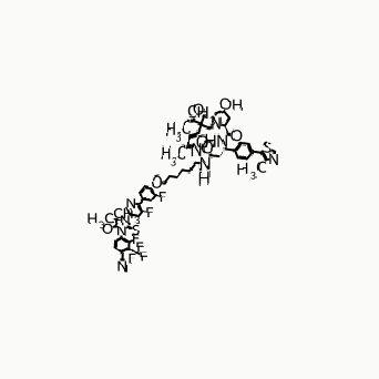 Cc1cc(C(C=O)(CN2C[C@H](O)C[C@H]2C(=O)N[C@@H](CC(=O)NCCCCCCOc2ccc(-c3ncc(N4C(=S)N(c5ccc(C#N)c(C(F)(F)F)c5F)C(=O)C4(C)C)cc3F)cc2F)c2ccc(-c3scnc3C)cc2)C(C)C)on1